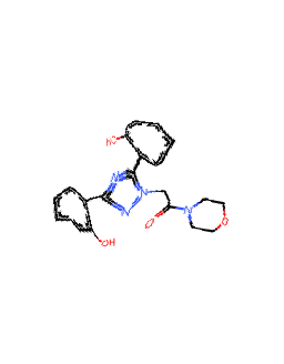 O=C(Cn1nc(-c2ccccc2O)nc1-c1ccccc1O)N1CCOCC1